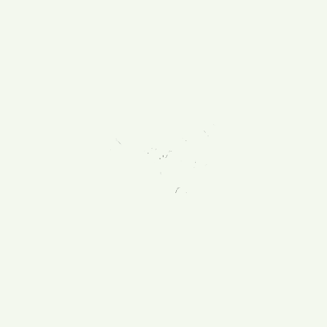 C[Si](C)(CCC1=C2CCC(C2)C1)O[SiH](O[Si](C)(C)CCC1=C2CCC(C2)C1)O[Si](O[Si](C)(C)CCC1=C2CCC(C2)C1)(O[Si](C)(C)CCC1=C2CCC(C2)C1)C1CCCCC1